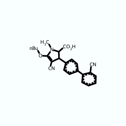 CCCCOC1=C(C#N)C(c2ccc(-c3ccccc3C#N)cc2)C(C(=O)O)N1C